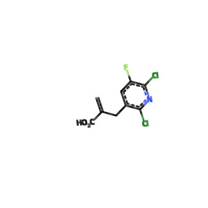 C=C(Cc1cc(F)c(Cl)nc1Cl)C(=O)O